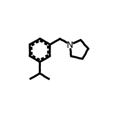 CC(C)c1cccc(CN2CCCC2)c1